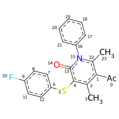 CC(=O)c1c(C)c(Sc2ccc(F)cc2)c(=O)n(-c2ccccc2)c1C